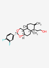 C=C1CCC2[C@]3(C)CO[C@@H](c4ccc(F)c(F)c4)O[C@@H]3CC[C@@]2(C)[C@@H]1CCO